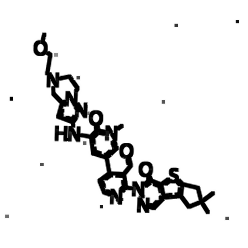 COCCN1CCn2nc(Nc3cc(-c4ccnc(-n5ncc6c7c(sc6c5=O)CC(C)(C)C7)c4C=O)cn(C)c3=O)cc2C1